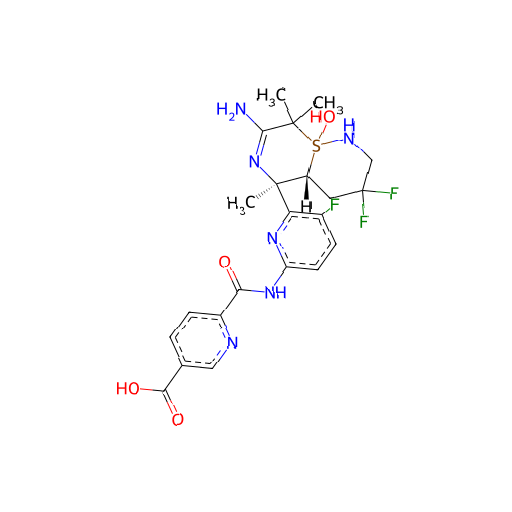 CC1(C)C(N)=N[C@](C)(c2nc(NC(=O)c3ccc(C(=O)O)cn3)ccc2F)[C@H]2CC(F)(F)CNS21O